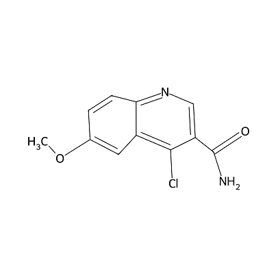 COc1ccc2ncc(C(N)=O)c(Cl)c2c1